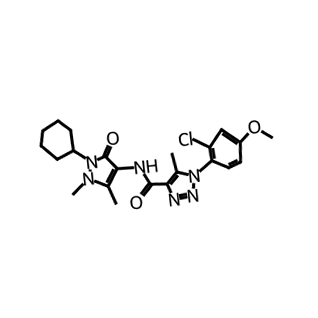 COc1ccc(-n2nnc(C(=O)Nc3c(C)n(C)n(C4CCCCC4)c3=O)c2C)c(Cl)c1